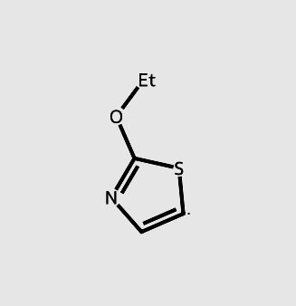 CCOc1nc[c]s1